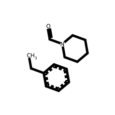 CCc1ccccc1.O=CN1CCCCC1